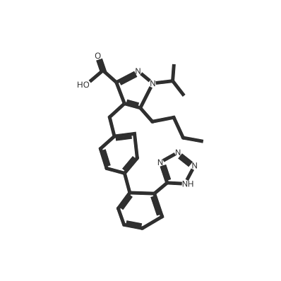 CCCCc1c(Cc2ccc(-c3ccccc3-c3nnn[nH]3)cc2)c(C(=O)O)nn1C(C)C